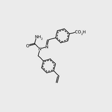 C=Cc1ccc(CN(N=Cc2ccc(C(=O)O)cc2)C(N)=O)cc1